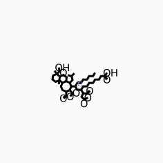 CCCCC/C=C/C(CC(CCCCCCCC(=O)O)C1CC(=O)OC1=O)C1C(CC(C)C)C2CCC3C(C)(C(=O)O)CCCC3(C)C2CCC2C(=O)OC(=O)C21